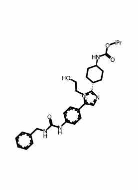 CC(C)OC(=O)N[C@H]1CC[C@H](c2ncc(-c3ccc(NC(=O)NCc4ccccc4)cc3)n2CCO)CC1